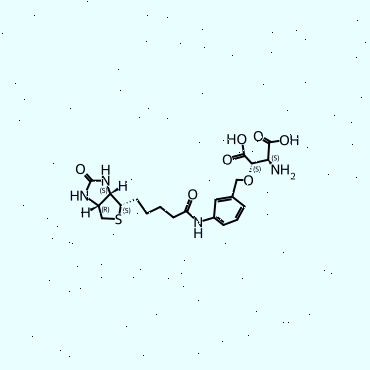 N[C@H](C(=O)O)[C@H](OCc1cccc(NC(=O)CCCC[C@@H]2SC[C@@H]3NC(=O)N[C@@H]32)c1)C(=O)O